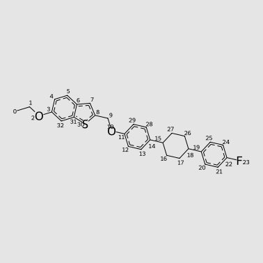 CCOc1ccc2cc(COc3ccc(C4CCC(c5ccc(F)cc5)CC4)cc3)sc2c1